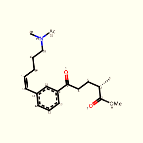 COC(=O)[C@@H](C)CCC(=O)c1cccc(/C=C\CCCN(C)C(C)=O)c1